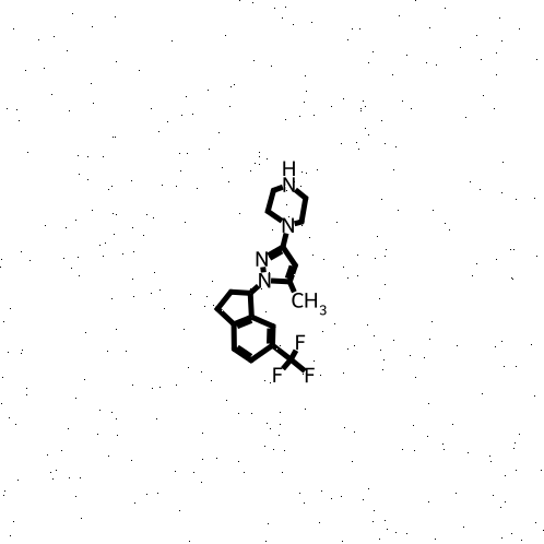 Cc1cc(N2CCNCC2)nn1C1CCc2ccc(C(F)(F)F)cc21